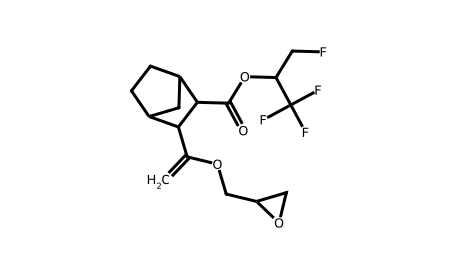 C=C(OCC1CO1)C1C2CCC(C2)C1C(=O)OC(CF)C(F)(F)F